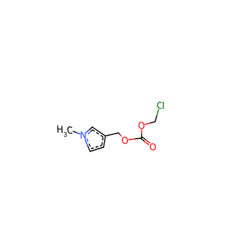 Cn1ccc(COC(=O)OCCl)c1